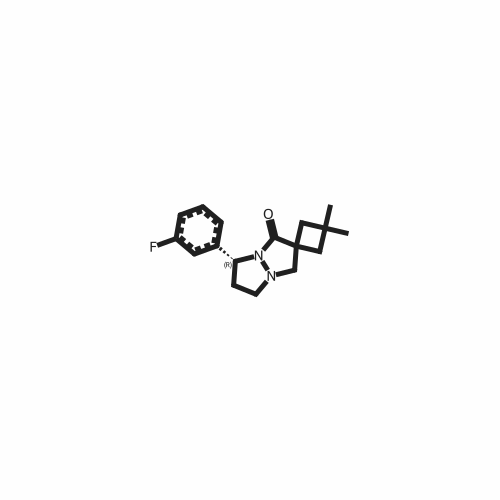 CC1(C)CC2(CN3CC[C@H](c4cccc(F)c4)N3C2=O)C1